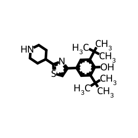 CC(C)(C)c1cc(-c2csc(C3CCNCC3)n2)cc(C(C)(C)C)c1O